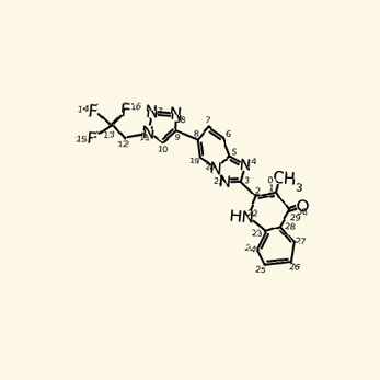 Cc1c(-c2nc3ccc(-c4cn(CC(F)(F)F)nn4)cn3n2)[nH]c2ccccc2c1=O